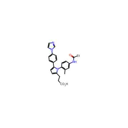 CCC(=O)Nc1ccc(-n2c(CCC(=O)O)ccc2-c2ccc(-n3ccnc3)cc2)c(C)c1